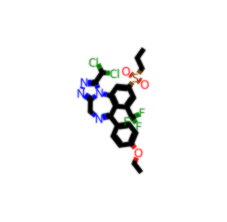 CCCS(=O)(=O)c1cc2c(c(C(F)(F)F)c1)C(c1ccc(OCC)cc1)=NCc1nnc(C(Cl)Cl)n1-2